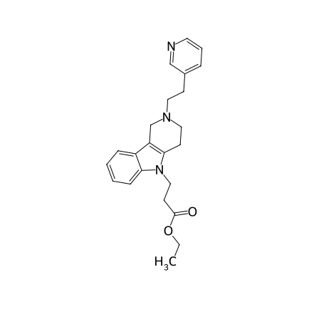 CCOC(=O)CCn1c2c(c3ccccc31)CN(CCc1cccnc1)CC2